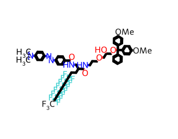 COc1ccc(C(OCC(O)COCCCNC(=O)C(CCC(F)(F)C(F)(F)C(F)(F)C(F)(F)C(F)(F)C(F)(F)C(F)(F)C(F)(F)F)CNC(=O)c2ccc(/N=N/c3ccc(N(C)C)cc3)cc2)(c2ccccc2)c2ccc(OC)cc2)cc1